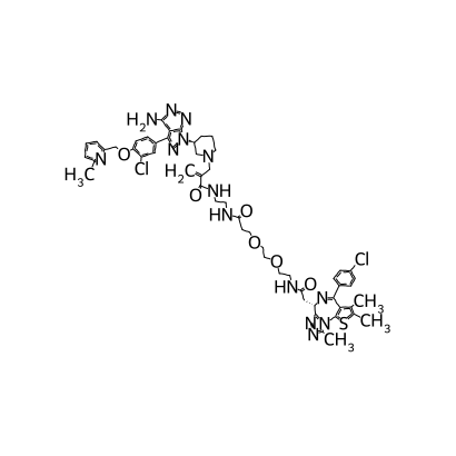 C=C(CN1CCC[C@H](n2nc(-c3ccc(OCc4cccc(C)n4)c(Cl)c3)c3c(N)ncnc32)C1)C(=O)NCCNC(=O)CCOCCOCCNC(=O)C[C@@H]1N=C(c2ccc(Cl)cc2)c2c(sc(C)c2C)-n2c(C)nnc21